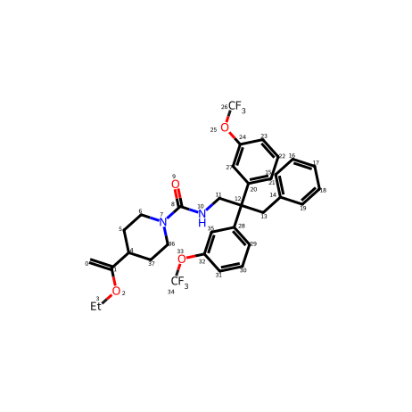 C=C(OCC)C1CCN(C(=O)NCC(Cc2ccccc2)(c2cccc(OC(F)(F)F)c2)c2cccc(OC(F)(F)F)c2)CC1